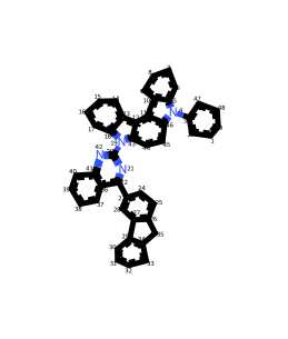 c1ccc(-n2c3ccccc3c3c4c5ccccc5n(-c5nc(-c6ccc7c(c6)-c6ccccc6C7)c6ccccc6n5)c4ccc32)cc1